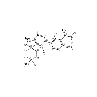 CN(C)C(=O)c1c(N)ccc(-c2cnc3c(c2Cl)C2(CCC(C)(O)CC2)CN3)c1F